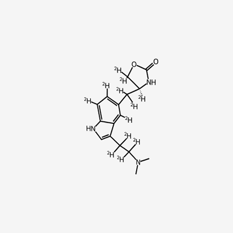 [2H]c1c(C([2H])([2H])[C@]2([2H])NC(=O)OC2([2H])[2H])c([2H])c2c(C([2H])([2H])C([2H])([2H])N(C)C)c[nH]c2c1[2H]